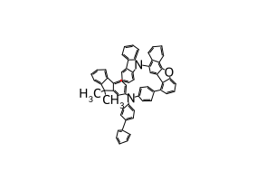 CC1(C)c2ccccc2-c2ccc(N(c3ccc(-c4ccccc4)cc3)c3ccc(-c4cccc5oc6c7ccccc7c(-n7c8ccccc8c8ccccc87)cc6c45)cc3)cc21